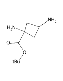 CC(C)(C)OC(=O)C1(N)CC(N)C1